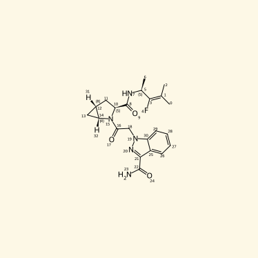 CC(C)=C(F)[C@H](C)NC(=O)[C@@H]1C[C@H]2C[C@H]2N1C(=O)Cn1nc(C(N)=O)c2ccccc21